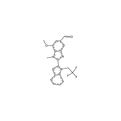 COc1cc(C=O)cc2nc(-c3cc4ccccc4n3CC(F)(F)F)n(C)c12